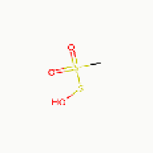 CS(=O)(=O)SO